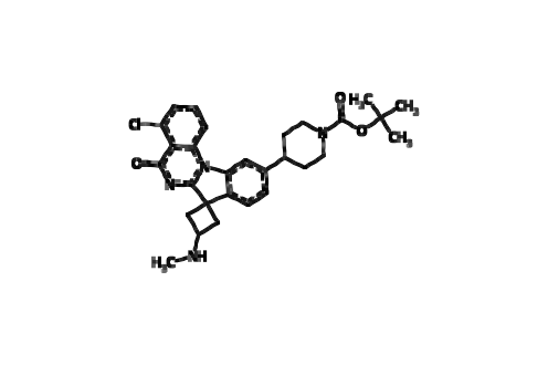 CNC1CC2(C1)c1ccc(C3CCN(C(=O)OC(C)(C)C)CC3)cc1-n1c2nc(=O)c2c(Cl)cccc21